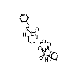 O=C(ON1C(=O)C2C3C=C[C@H](C3)[C@H]2C1=O)[C@@H]1CC[C@@H]2CN1C(=O)N2OCc1ccccc1